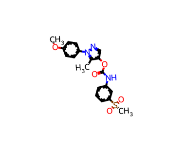 COc1ccc(-n2ncc(OC(=O)Nc3cccc(S(C)(=O)=O)c3)c2C)cc1